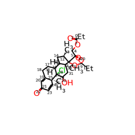 CCC(=O)OCC(=O)[C@@]1(OC(=O)CC)[C@H](C)C[C@H]2[C@@H]3CCC4=CC(=O)C=C[C@]4(C)[C@@]3(Cl)C(O)C[C@@]21C